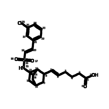 O=C(O)CCCC=CC1CC2CCC1C(NS(=O)(=O)C=Cc1cccc(Cl)c1)C2